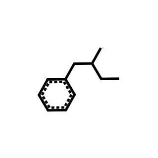 [CH2]C(CC)Cc1ccccc1